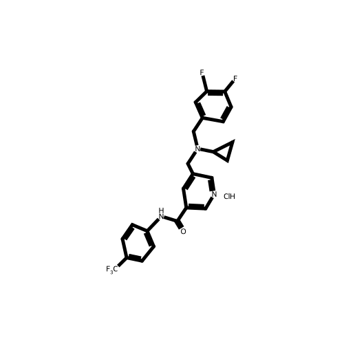 Cl.O=C(Nc1ccc(C(F)(F)F)cc1)c1cncc(CN(Cc2ccc(F)c(F)c2)C2CC2)c1